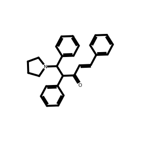 O=C(C=Cc1ccccc1)C(c1ccccc1)C(c1cc[c]cc1)N1CCCC1